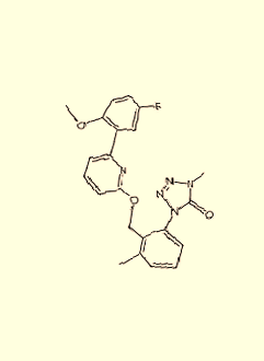 COc1ccc(F)cc1-c1cccc(OCc2c(C)cccc2-n2nnn(C)c2=O)n1